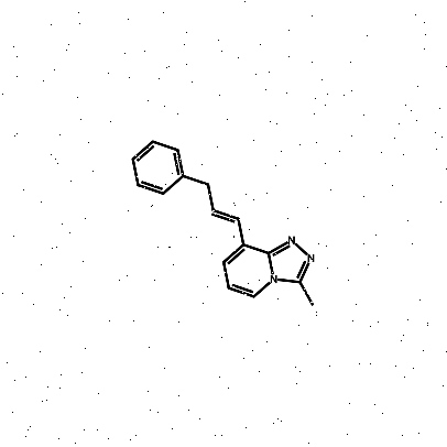 Cc1nnc2c(C=CCc3ccccc3)cccn12